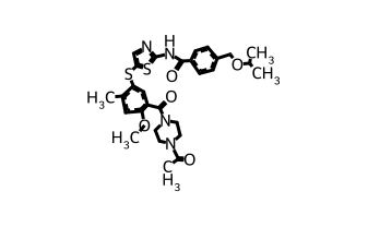 COc1cc(C)c(Sc2cnc(NC(=O)c3ccc(COC(C)C)cc3)s2)cc1C(=O)N1CCN(C(C)=O)CC1